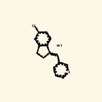 Cl.Clc1ccc2c(c1)CC/C2=C\c1cccnc1